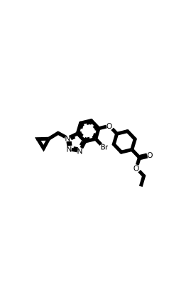 CCOC(=O)C1CCC(Oc2ccc3c(nnn3CC3CC3)c2Br)CC1